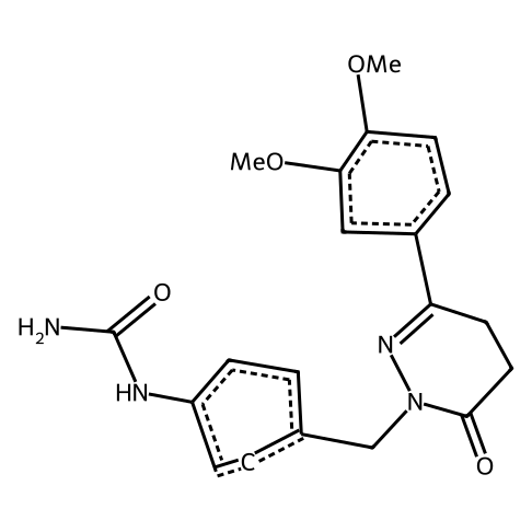 COc1ccc(C2=NN(Cc3ccc(NC(N)=O)cc3)C(=O)CC2)cc1OC